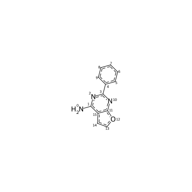 Nc1nc(-c2ccccc2)nc2occc12